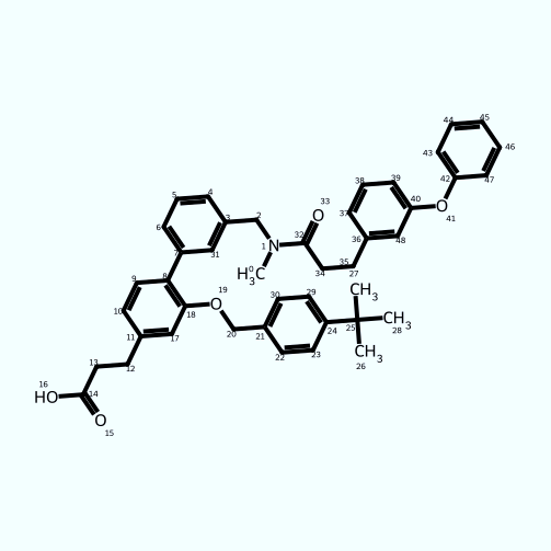 CN(Cc1cccc(-c2ccc(CCC(=O)O)cc2OCc2ccc(C(C)(C)C)cc2)c1)C(=O)CCc1cccc(Oc2ccccc2)c1